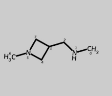 CNCC1CN(C)C1